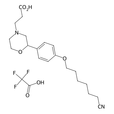 N#CCCCCCCOc1ccc(C2CN(CCC(=O)O)CCO2)cc1.O=C(O)C(F)(F)F